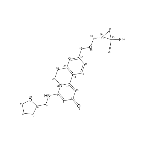 O=c1cc(NCC2CCCO2)n2c(c1)-c1ccc(COC[C@@H]3CC3(F)F)cc1CC2